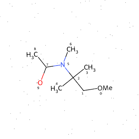 COCC(C)(C)N(C)C(C)[O]